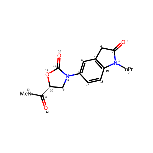 CCCN1C(=O)Cc2cc(N3C[C@H](C(=O)NC)OC3=O)ccc21